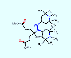 CCCCCC(CCC(=O)OC)(CCC(=O)OC)N(NC1CC(C)(C)N(C)C(C)(C)C1)C1CC(C)(C)N(C)C(C)(C)C1